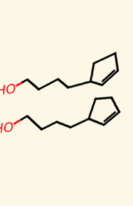 OCCCCC1C=CCC1.OCCCCC1C=CCC1